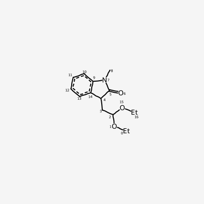 CCOC(CC1C(=O)N(C)c2ccccc21)OCC